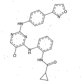 O=C(Nc1ccccc1Nc1nc(Nc2ccc(-c3ccon3)cc2)ncc1Cl)C1CC1